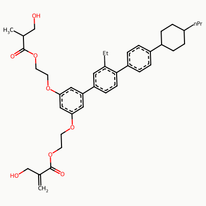 C=C(CO)C(=O)OCCOc1cc(OCCOC(=O)C(C)CO)cc(-c2ccc(-c3ccc(C4CCC(CCC)CC4)cc3)c(CC)c2)c1